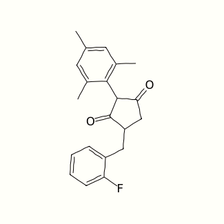 Cc1cc(C)c(C2C(=O)CC(Cc3ccccc3F)C2=O)c(C)c1